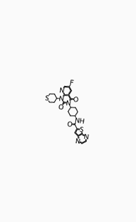 O=C(NC1CCC(n2c(=O)c3cc(F)cnc3n(C3CCSCC3)c2=O)CC1)c1cc2nccnc2s1